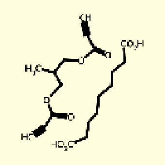 C#CC(=O)OCC(C)COC(=O)C#C.O=C(O)CCCCCCCC(=O)O